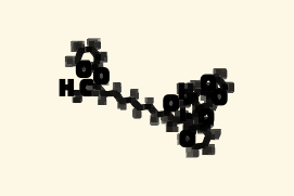 CC(CCCCCCCC(=O)C=C[C@@H]1OCCC[C@H]1O[C@]12CCC[C@@H]1CC1(C2)OCCO1)OC1CCCCO1